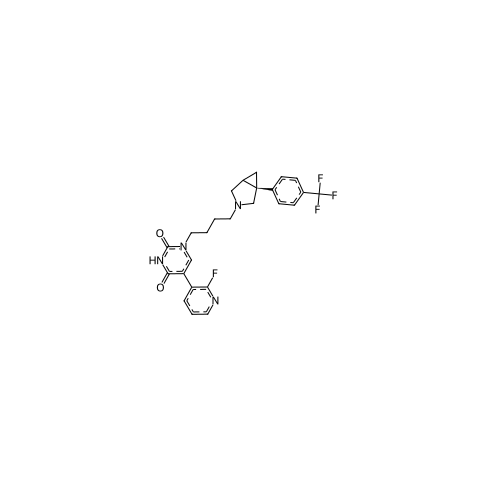 O=c1[nH]c(=O)n(CCCCN2CC3C[C@]3(c3ccc(C(F)(F)F)cc3)C2)cc1-c1cccnc1F